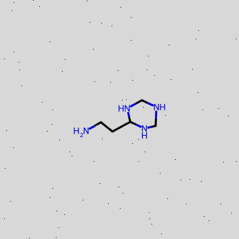 NCCC1NCNCN1